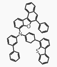 C1=CC(c2cccc3c2sc2ccccc23)CC=C1N(c1cccc(-c2ccccc2)c1)c1cccc2c1oc1c(-c3ccccc3)cc3ccccc3c12